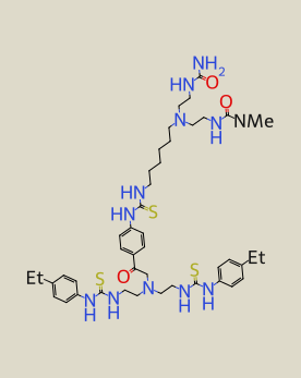 CCc1ccc(NC(=S)NCCN(CCNC(=S)Nc2ccc(CC)cc2)CC(=O)c2ccc(NC(=S)NCCCCCCN(CCNC(N)=O)CCNC(=O)NC)cc2)cc1